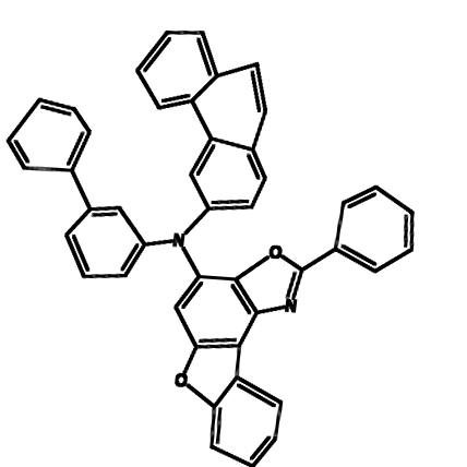 c1ccc(-c2cccc(N(c3ccc4ccc5ccccc5c4c3)c3cc4oc5ccccc5c4c4nc(-c5ccccc5)oc34)c2)cc1